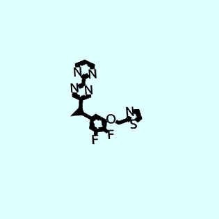 Fc1cc(C2CC2c2cnc(-c3ncccn3)nc2)cc(OCc2nccs2)c1F